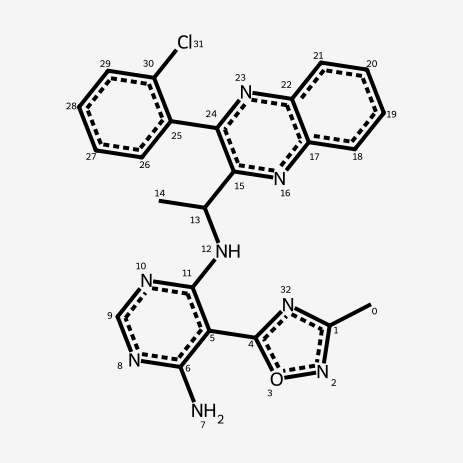 Cc1noc(-c2c(N)ncnc2NC(C)c2nc3ccccc3nc2-c2ccccc2Cl)n1